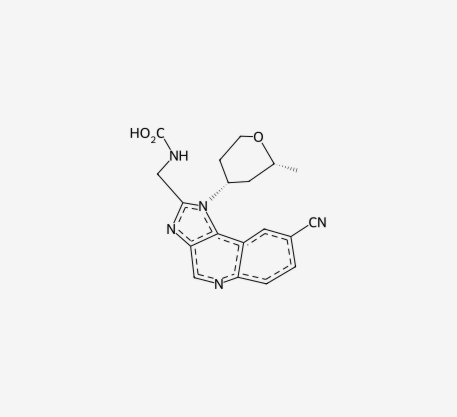 C[C@@H]1C[C@H](n2c(CNC(=O)O)nc3cnc4ccc(C#N)cc4c32)CCO1